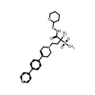 CC(CCN1CC=C(c2ccc(-c3ccncc3)cc2)CC1)(C(=O)NOC1CCCCO1)S(C)(=O)=O